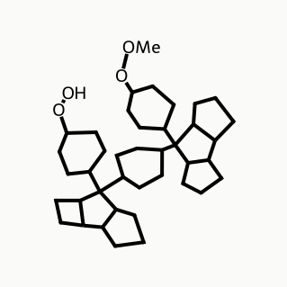 COOC1CCC(C2(C3CCC(C4(C5CCC(OO)CC5)C5CCCC5C5CCC54)CC3)C3CCCC3C3CCCC32)CC1